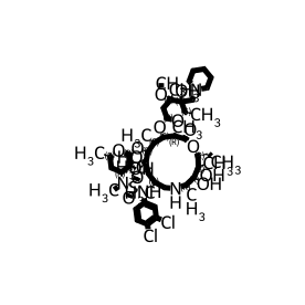 CC[C@H]1OC(=O)[C@H](C)[C@@H](O[C@H]2C[C@@](C)(OC)[C@](O)(CN3CCCCC3)[C@H](C)O2)[C@H](C)[C@@H](O[C@H]2O[C@@H](C)C[C@@H](N(C)S(=O)(=O)Nc3ccc(Cl)c(Cl)c3)[C@@H]2O)[C@](C)(O)C[C@@H](C)CN[C@H](C)[C@@H](O)[C@]1(C)O